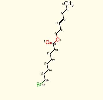 CCCC=CCCOC(=O)CCCCCCCBr